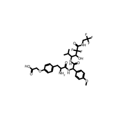 COc1ccc(C(NC(=O)C(N)Cc2ccc(OCC(=O)O)cc2)C(=O)NC(C(C)C)C(O)C(F)(F)C(=O)NCC(F)(F)F)cc1